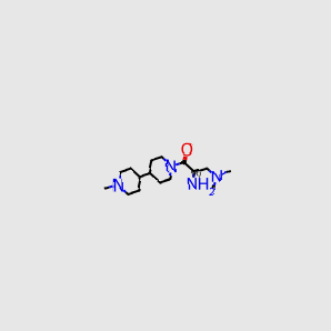 CN(C)C[C@@H](N)C(=O)N1CCC(C2CCN(C)CC2)CC1